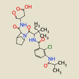 CC(C)C(=O)Nc1cccc(C(=O)NC(C(=O)N2C3CCC(C3)C2C(=O)NC(C=O)CC(=O)O)C(C)(C)C)c1Cl